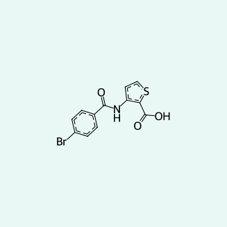 O=C(Nc1ccsc1C(=O)O)c1ccc(Br)cc1